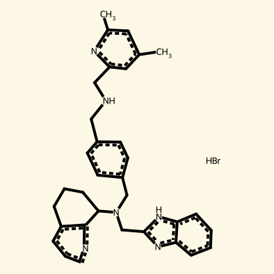 Br.Cc1cc(C)nc(CNCc2ccc(CN(Cc3nc4ccccc4[nH]3)C3CCCc4cccnc43)cc2)c1